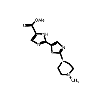 COC(=O)c1cnc(-c2cnc(N3CCN(C)CC3)s2)[nH]1